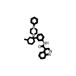 CC1CCCC(c2cccc(NC(=O)c3cnnc4ccccc34)c2)(N2CCN(c3ccccc3)CC2)C1